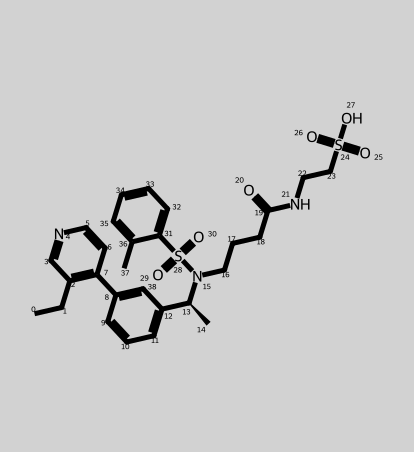 CCc1cnccc1-c1cccc([C@H](C)N(CCCC(=O)NCCS(=O)(=O)O)S(=O)(=O)c2ccccc2C)c1